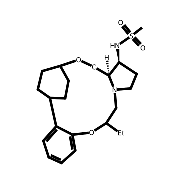 CCC1CN2CC[C@H](NS(C)(=O)=O)[C@@H]2COC2CCC(CC2)c2ccccc2O1